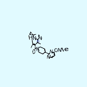 C=N/C(NC1(C)CC1)=C(\C)C(C(=O)N1CCC(c2nccc(OC)n2)CC1)=C(C)C